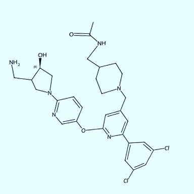 CC(=O)NCC1CCN(Cc2cc(Oc3ccc(N4CC(CN)[C@@H](O)C4)nc3)nc(-c3cc(Cl)cc(Cl)c3)c2)CC1